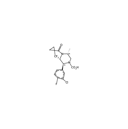 C[C@@H]1CN(C(=O)O)[C@@H](c2ccc(F)c(Cl)c2)CN1C(=O)C1(C(F)(F)F)CC1